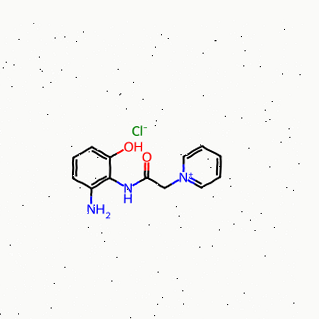 Nc1cccc(O)c1NC(=O)C[n+]1ccccc1.[Cl-]